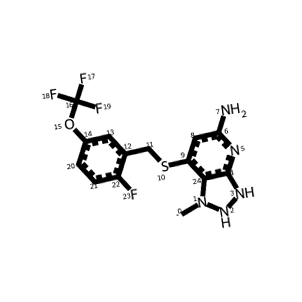 [CH2]N1NNc2nc(N)cc(SCc3cc(OC(F)(F)F)ccc3F)c21